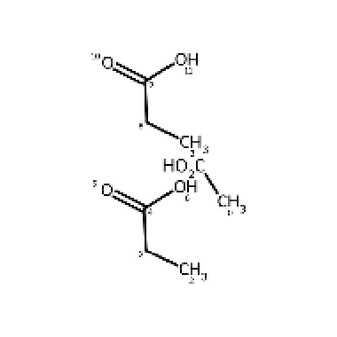 CC(=O)O.CCC(=O)O.CCC(=O)O